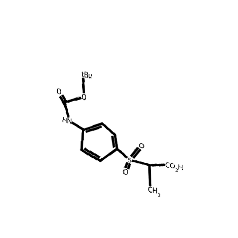 CC(C(=O)O)S(=O)(=O)c1ccc(NC(=O)OC(C)(C)C)cc1